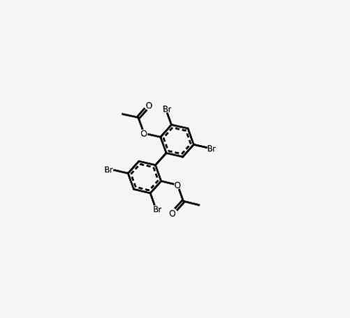 CC(=O)Oc1c(Br)cc(Br)cc1-c1cc(Br)cc(Br)c1OC(C)=O